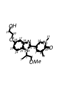 COCC(C)n1c(-c2cc(C)c(=O)n(C)c2)nc2cc(OCCO)ccc21